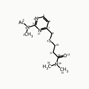 CC(=O)N(C)c1nccc(CSCCC(=O)N(C)C)n1